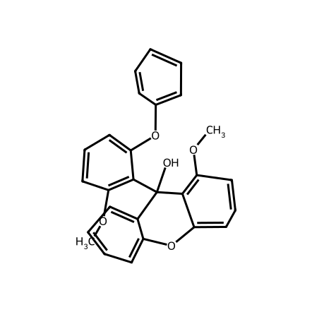 COc1cccc(Oc2ccccc2)c1C1(O)c2ccccc2Oc2cccc(OC)c21